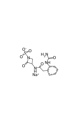 NC(=O)Nc1ccccc1CC(=O)NC1CN(S(=O)(=O)[O-])C1=O.[Na+]